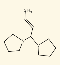 [SiH3]C=CC(N1CCCC1)N1CCCC1